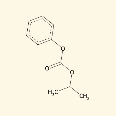 C[C](C)OC(=O)Oc1ccccc1